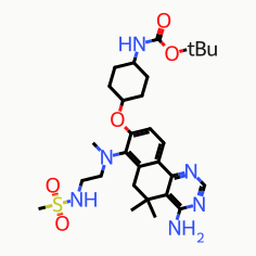 CN(CCNS(C)(=O)=O)c1c(OC2CCC(NC(=O)OC(C)(C)C)CC2)ccc2c1CC(C)(C)c1c(N)ncnc1-2